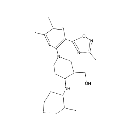 Cc1noc(-c2cc(C)c(C)nc2N2CCC(NC3CCCCC3C)C(CO)C2)n1